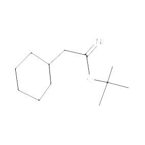 CC(C)(C)OC(=N)CC1CCCCC1